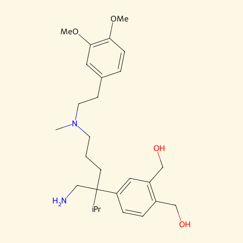 COc1ccc(CCN(C)CCCC(CN)(c2ccc(CO)c(CO)c2)C(C)C)cc1OC